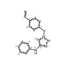 C=Cc1ccc(Cn2nnc(Nc3ccccc3)n2)cc1